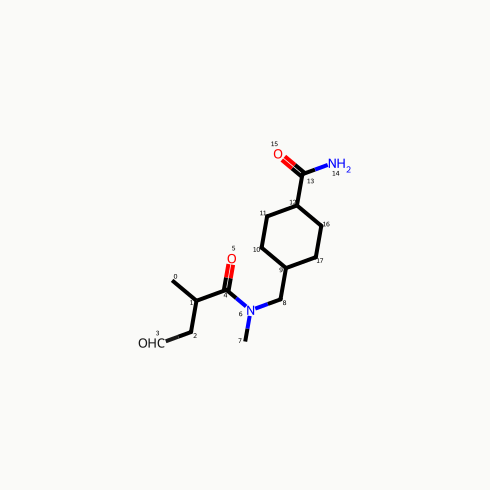 CC(CC=O)C(=O)N(C)CC1CCC(C(N)=O)CC1